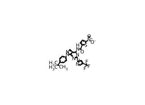 CC(C)(C)c1ccc(-n2ncc3c(NC(=O)c4ccc([N+](=O)[O-])s4)nc(-n4cc(C(F)(F)F)cn4)nc32)cc1